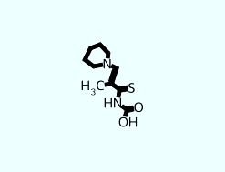 C/C(=C\N1CCCCC1)C(=S)NC(=O)O